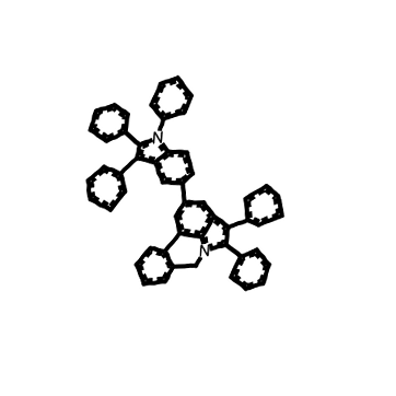 c1ccc(-c2c(-c3ccccc3)n3c4c(cc(-c5ccc6c(c5)c(-c5ccccc5)c(-c5ccccc5)n6-c5ccccc5)cc24)-c2ccccc2C3)cc1